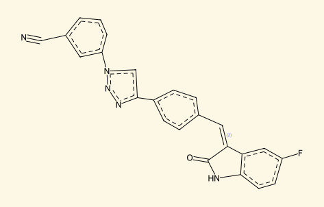 N#Cc1cccc(-n2cc(-c3ccc(/C=C4\C(=O)Nc5ccc(F)cc54)cc3)nn2)c1